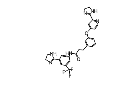 O=C(CCc1cccc(Oc2ccnc(C3=NCCN3)c2)c1)Nc1cc(C2=NCCN2)cc(C(F)(F)F)c1